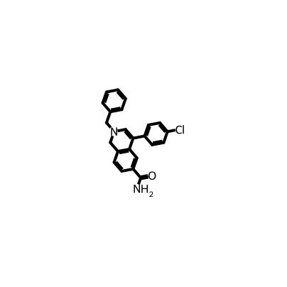 NC(=O)c1ccc2c(c1)C(c1ccc(Cl)cc1)=CN(Cc1ccccc1)C2